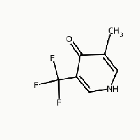 Cc1c[nH]cc(C(F)(F)F)c1=O